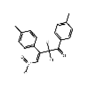 Cc1ccc(C(=O)C(Cl)(Cl)C(=C[N+](=O)[O-])c2ccc(C)cc2)cc1